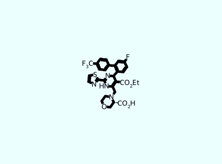 CCOC(=O)C1=C(CN2CCOC[C@H]2C(=O)O)NC(c2nccs2)=NC1c1ccc(F)cc1-c1ccc(C(F)(F)F)cc1